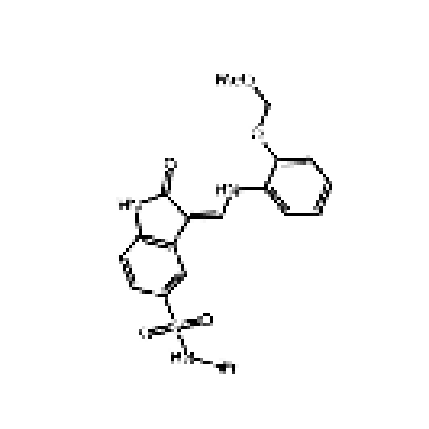 COCOc1ccccc1N/C=C1\C(=O)Nc2ccc(S(=O)(=O)NC(C)C)cc21